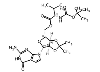 CC(C)[C@H](NC(=O)OC(C)(C)C)C(=O)OC[C@H]1O[C@@H](n2ccc3c(=O)[nH]c(N)nc32)[C@@H]2OC(C)(C)O[C@@H]21